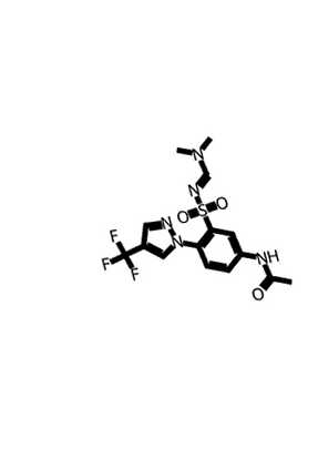 CC(=O)Nc1ccc(-n2cc(C(F)(F)F)cn2)c(S(=O)(=O)N=CN(C)C)c1